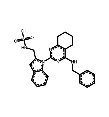 CS(=O)(=O)NCc1cc2ccccc2n1-c1nc2c(c(NCc3ccccc3)n1)CCCC2